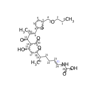 CCCOCc1ccc(C=C(C)C(=O)c2c(O)cc(C(C)CC/C=C/NC(=O)O)oc2=O)s1